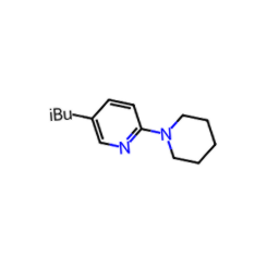 CCC(C)c1ccc(N2CCCCC2)nc1